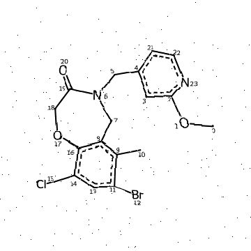 COc1cc(CN2Cc3c(C)c(Br)cc(Cl)c3OCC2=O)ccn1